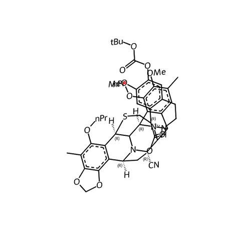 CCCOc1c(C)c2c(c3c1[C@H]1SC[C@]4(NCCc5cc(OC(=O)OC(C)(C)C)c(OC)cc54)C(=O)OC[C@@H]3N3C1[C@H]1c4c(cc(C)c(OC)c4OCCC)C4C([C@@H]3C#N)N41)OCO2